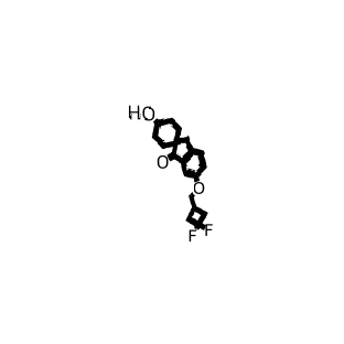 O=C1c2cc(OCC3CC(F)(F)C3)ccc2CC12CCC(O)CC2